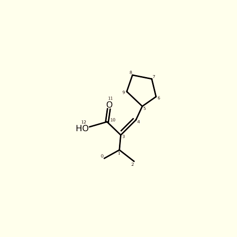 CC(C)C(=CC1CCCC1)C(=O)O